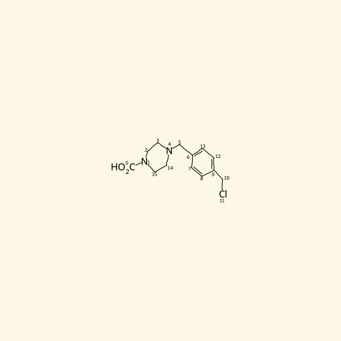 O=C(O)N1CCN(Cc2ccc(CCl)cc2)CC1